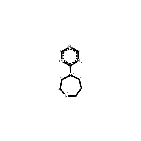 c1ncnc(N2CCCNCC2)n1